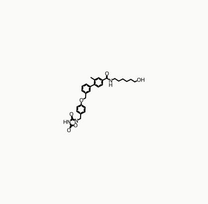 Cc1cc(C(=O)NCCCCCCO)ccc1-c1cccc(COc2ccc(Cn3oc(=O)[nH]c3=O)cc2)c1